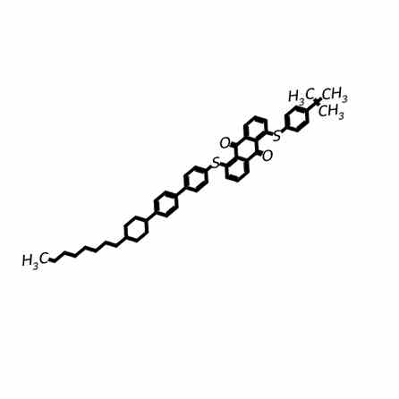 CCCCCCCCC1CCC(c2ccc(-c3ccc(Sc4cccc5c4C(=O)c4cccc(Sc6ccc(C(C)(C)C)cc6)c4C5=O)cc3)cc2)CC1